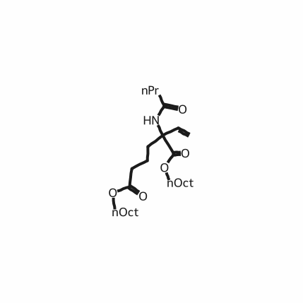 C=CC(CCCC(=O)OCCCCCCCC)(NC(=O)CCC)C(=O)OCCCCCCCC